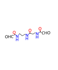 O=CC(=O)NCCCNC(=O)CCNC(=O)C=O